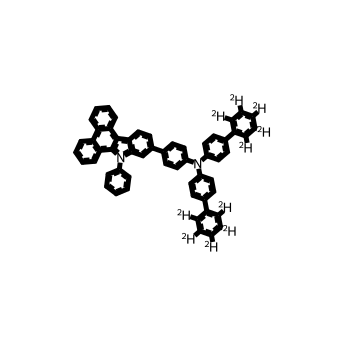 [2H]c1c([2H])c([2H])c(-c2ccc(N(c3ccc(-c4ccc5c6c7ccccc7c7ccccc7c6n(-c6ccccc6)c5c4)cc3)c3ccc(-c4c([2H])c([2H])c([2H])c([2H])c4[2H])cc3)cc2)c([2H])c1[2H]